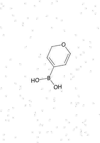 OB(O)C1=CCOC=C1